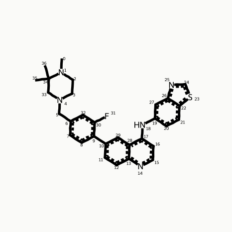 CN1CCN(Cc2ccc(-c3ccc4nccc(Nc5ccc6scnc6c5)c4c3)c(F)c2)CC1(C)C